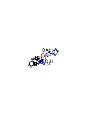 CC(=O)OC(CNC(=O)OC1(C(=O)O)CC[C@@]2(N)[C@@H]3CCC4CCCC[C@]4(C)[C@@H]3CC[C@]12C)CN1CCCCC1